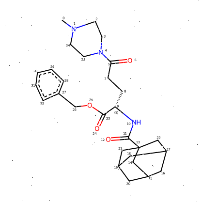 CN1CCN(C(=O)CC[C@H](NC(=O)C23CC4CC(CC(C4)C2)C3)C(=O)OCc2ccccc2)CC1